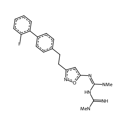 CNC(=N)NC(=Nc1cc(CCc2ccc(-c3ccccc3F)cc2)no1)NC